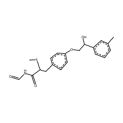 CSC(Cc1ccc(OCC(O)c2cccc(C)c2)cc1)C(=O)NC=O